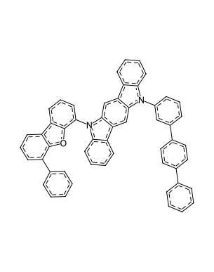 c1ccc(-c2ccc(-c3cccc(-n4c5ccccc5c5cc6c(cc54)c4ccccc4n6-c4cccc5c4oc4c(-c6ccccc6)cccc45)c3)cc2)cc1